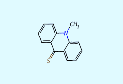 Cn1c2ccccc2c(=S)c2ccccc21